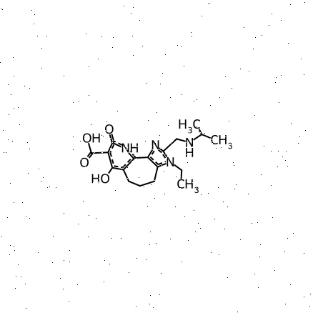 CCn1c(CNC(C)C)nc2c1CCCc1c-2[nH]c(=O)c(C(=O)O)c1O